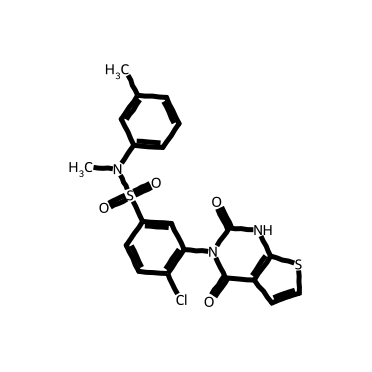 Cc1cccc(N(C)S(=O)(=O)c2ccc(Cl)c(-n3c(=O)[nH]c4sccc4c3=O)c2)c1